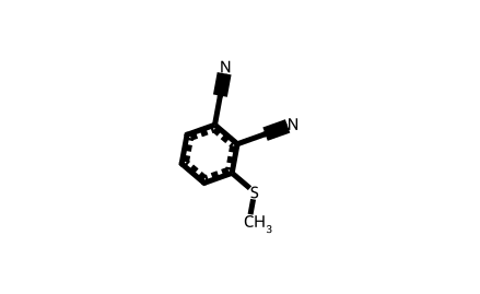 CSc1cccc(C#N)c1C#N